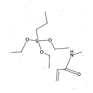 C=CC(=O)NC.CCC[Si](OCC)(OCC)OCC